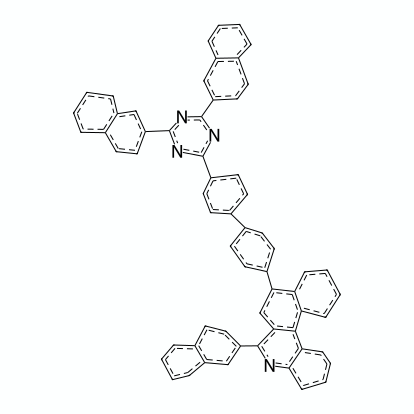 c1ccc2cc(-c3nc(-c4ccc(-c5ccc(-c6cc7c(-c8ccc9ccccc9c8)nc8ccccc8c7c7ccccc67)cc5)cc4)nc(-c4ccc5ccccc5c4)n3)ccc2c1